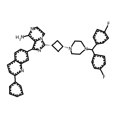 Nc1nccn2c1c(-c1ccc3ccc(-c4ccccc4)nc3c1)nc2[C@H]1C[C@@H](N2CCN(C(c3ccc(F)cc3)c3ccc(F)cc3)CC2)C1